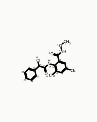 CONC(=O)c1cc(Cl)cc(Cl)c1NC(=O)C(Cl)c1ccccc1